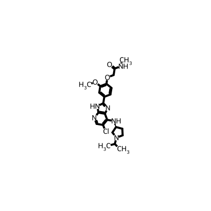 CNC(=O)COc1ccc(-c2nc3c(N[C@H]4CCN(C(C)C)C4)c(Cl)cnc3[nH]2)cc1OC